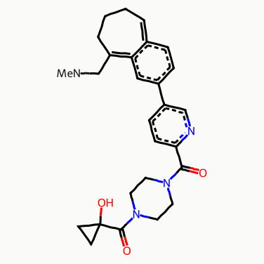 CNCC1=c2cc(-c3ccc(C(=O)N4CCN(C(=O)C5(O)CC5)CC4)nc3)ccc2=CCCC1